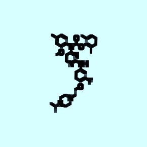 COc1cc(C)ccc1N(C(=O)Oc1c(C)cccc1C)c1ccnc(Nc2ccc(OCCN3CCN(C(C)C)CC3)c(F)c2)n1